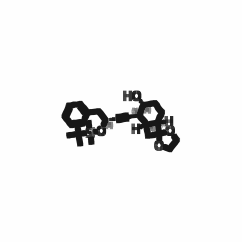 CC(C)(C)[Si](C)(C)O[C@@H](C#C[C@@H]1[C@H]2CC3(OCCO3)[C@H]2CC[C@H]1O)Cc1ccccc1